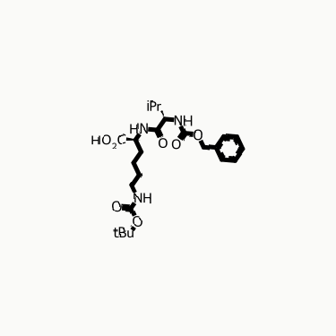 CC(C)[C@H](NC(=O)OCc1ccccc1)C(=O)N[C@@H](CCCCNC(=O)OC(C)(C)C)C(=O)O